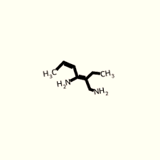 C/C=C\C(N)=C(/CC)CN